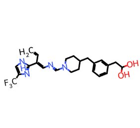 C=C/C(=C\N=C\N1CCC(Cc2cccc(CC(O)O)c2)CC1)c1nc(C(F)(F)F)c[nH]1